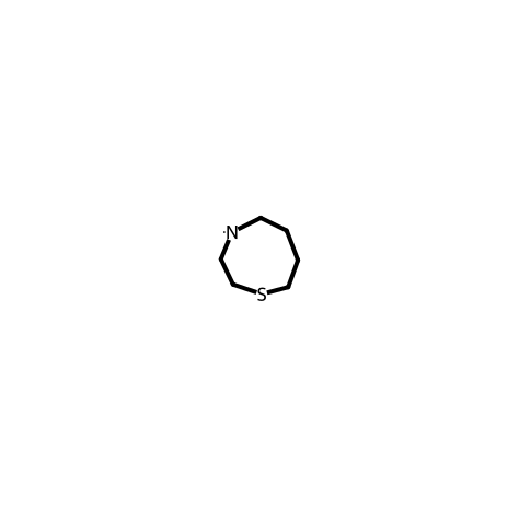 C1CCSCC[N]C1